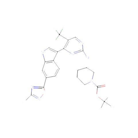 Cc1noc(-c2ccc3c(-c4nc(N[C@H]5CCCN(C(=O)OC(C)(C)C)C5)ncc4C(F)(F)F)c[nH]c3c2)n1